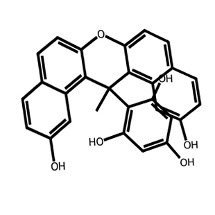 CC1(c2c(O)cc(O)cc2O)c2c(ccc3ccc(O)cc23)Oc2ccc3ccc(O)cc3c21